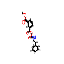 COC(=O)c1cccc(C(=O)OC(=O)NCCc2ccccc2)c1